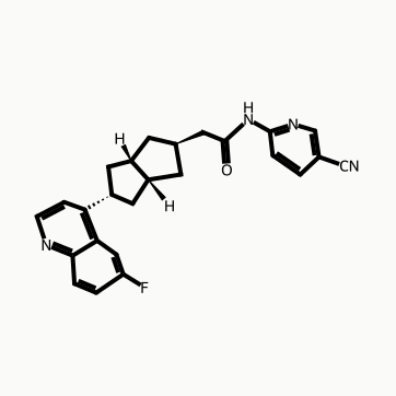 N#Cc1ccc(NC(=O)C[C@H]2C[C@@H]3C[C@H](c4ccnc5ccc(F)cc45)C[C@@H]3C2)nc1